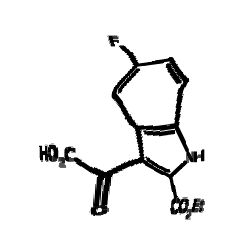 CCOC(=O)c1[nH]c2ccc(F)cc2c1C(=O)C(=O)O